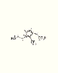 O=C(O)Cc1cnn(CCO)c1C(F)(F)F